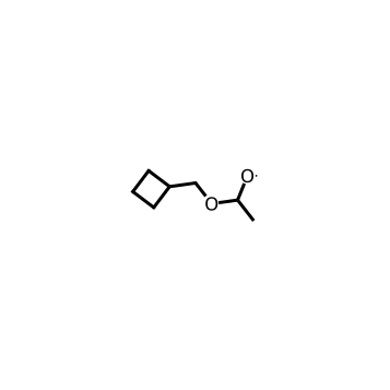 CC([O])OCC1CCC1